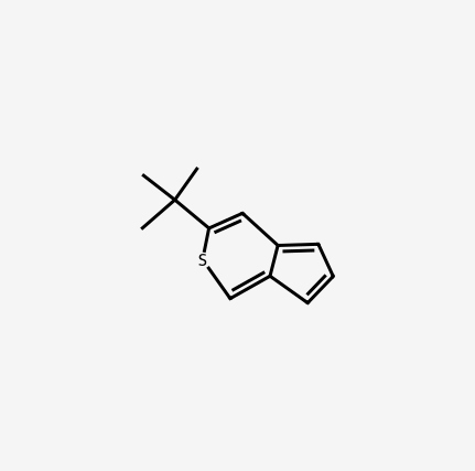 CC(C)(C)c1cc2cccc-2cs1